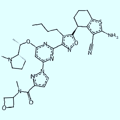 CCCCc1c(-c2nc(O[C@@H](C)[C@@H]3CCCN3C)cc(-n3ccc(C(=O)N(C)C4COC4)n3)n2)noc1[C@H]1CCCc2sc(N)c(C#N)c21